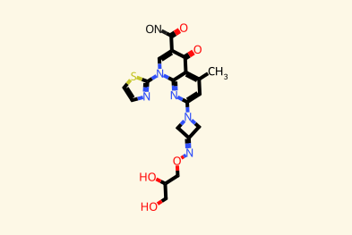 Cc1cc(N2CC(=NOCC(O)CO)C2)nc2c1c(=O)c(C(=O)N=O)cn2-c1nccs1